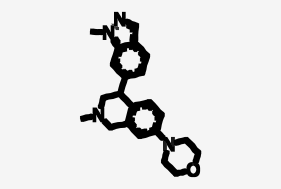 CN1Cc2cc(N3CCOCC3)ccc2C(c2ccc3cnn(C)c3c2)C1